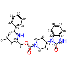 CC(C)C[C@H](COC(=O)N1CCC(n2c(=O)[nH]c3ccccc32)CC1)NCc1ccccc1